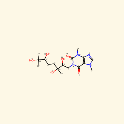 Cn1cnc2c1c(=O)n(CC(O)C(C)(O)CCC(O)C(C)(C)O)c(=O)n2C